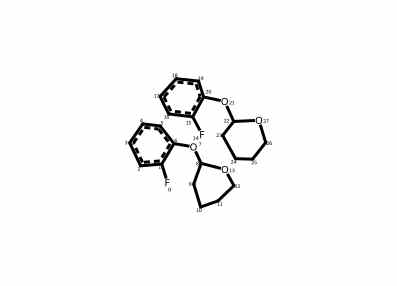 Fc1ccccc1OC1CCCCO1.Fc1ccccc1OC1CCCCO1